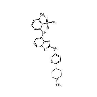 Cc1cccc(Nc2cccn3nc(Nc4ccc(C5CCN(C)CC5)cc4)nc23)c1S(C)(=O)=O